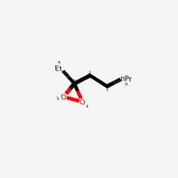 CCCCCC1(CC)OO1